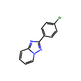 Brc1ccc(-c2nc3ccccn3n2)cc1